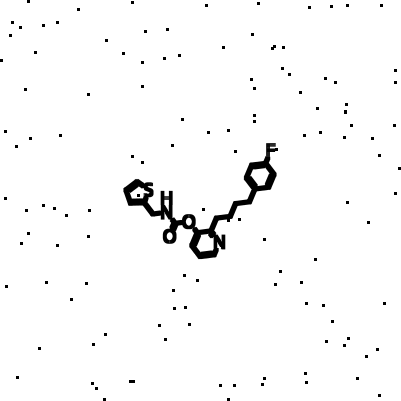 O=C(NCc1cccs1)Oc1cccnc1CCCCc1ccc(F)cc1